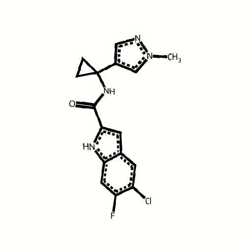 Cn1cc(C2(NC(=O)c3cc4cc(Cl)c(F)cc4[nH]3)CC2)cn1